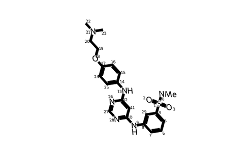 CNS(=O)(=O)c1cccc(Nc2cc(Nc3ccc(OCCN(C)C)cc3)ncn2)c1